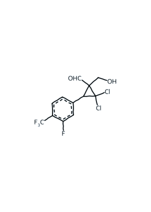 O=CC1(CO)C(c2ccc(C(F)(F)F)c(F)c2)C1(Cl)Cl